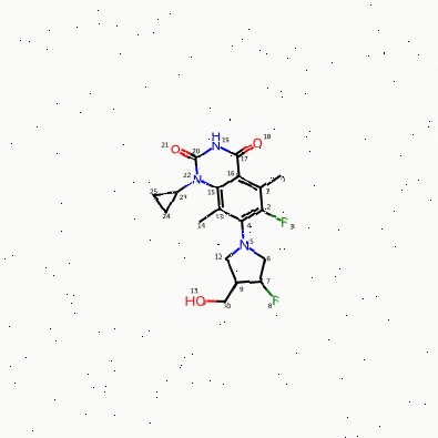 Cc1c(F)c(N2CC(F)C(CO)C2)c(C)c2c1c(=O)[nH]c(=O)n2C1CC1